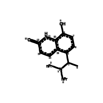 CCCN(CCC)C(C)c1ccc(O)c2[nH]c(=O)ccc12